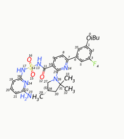 CC(C)COc1cc(F)cc(-c2ccc(C(=O)NS(=O)(=O)Nc3cccc(N)n3)c(N3C[C@@H](C)CC3(C)C)n2)c1